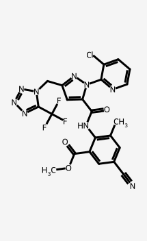 COC(=O)c1cc(C#N)cc(C)c1NC(=O)c1cc(Cn2nnnc2C(F)(F)F)nn1-c1ncccc1Cl